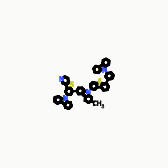 Cc1ccc2c3cc(-c4cc(-n5c6ccccc6c6ccccc65)cc5c4sc4ccncc45)ccc3n(-c3ccc4sc5c(-c6cccc(-n7c8ccccc8c8ccccc87)c6)cccc5c4c3)c2c1